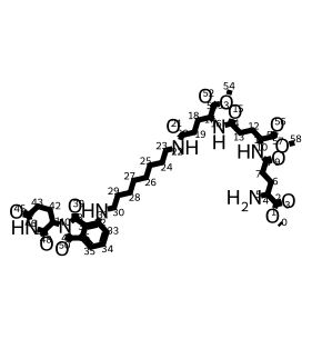 COC(=O)C(N)CCC(=O)NC(CCC(=O)NC(CCC(=O)NCCCCCCCCNc1cccc2c1C(=O)N(C1CCC(=O)NC1=O)C2=O)C(=O)OC)C(=O)OC